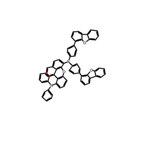 c1ccc(N(c2ccccc2)c2cccc3c2-c2cccc4ccc(N(c5ccc(-c6cccc7c6oc6ccccc67)cc5)c5ccc(-c6cccc7c6oc6ccccc67)cc5)c(c24)O3)cc1